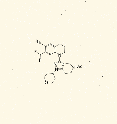 C#Cc1cc2c(cc1C(F)F)N(c1nn(C3CCOCC3)c3c1CN(C(C)=O)CC3)CCC2